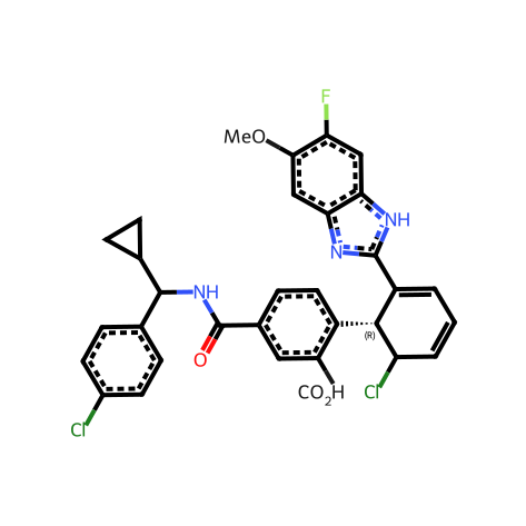 COc1cc2nc(C3=CC=CC(Cl)[C@@H]3c3ccc(C(=O)NC(c4ccc(Cl)cc4)C4CC4)cc3C(=O)O)[nH]c2cc1F